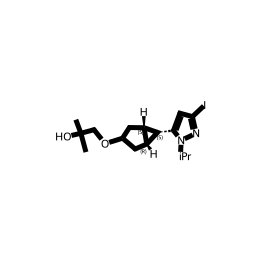 CC(C)n1nc(I)cc1[C@@H]1[C@@H]2CC(OCC(C)(C)O)C[C@@H]21